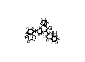 O=C(C1CC2CCC1CC2)C(C1CCc2ccccc2N1)N1CCN(c2cccc3c2OCCO3)CC1